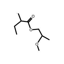 [CH2]C(CC)C(=O)OCC(C)OC